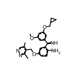 COc1cc(OCC2CC2)cc(C(=N)c2cc(OCc3c(C)cnnc3C)ccc2N)c1